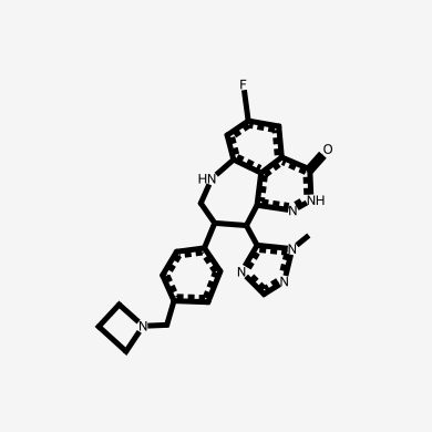 Cn1ncnc1C1c2n[nH]c(=O)c3cc(F)cc(c23)NCC1c1ccc(CN2CCC2)cc1